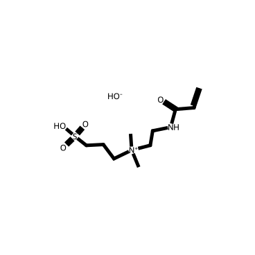 C=CC(=O)NCC[N+](C)(C)CCCS(=O)(=O)O.[OH-]